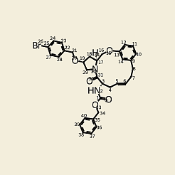 O=C(N[C@H]1C/C=C/CCc2cccc(c2)OC[C@@H]2C[C@H](OCc3ccc(Br)cc3)CN2C1=O)OCc1ccccc1